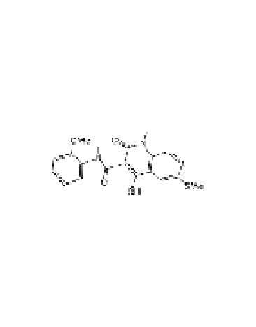 COc1ccccc1N(C)C(=O)c1c(O)c2cc(SC)ccc2n(C)c1=O